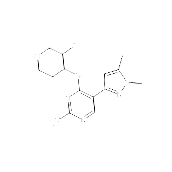 CCC1CNCCC1Nc1nc(N)ncc1-c1cc(C)n(C)n1